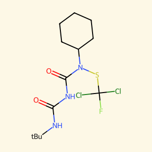 CC(C)(C)NC(=O)NC(=O)N(SC(F)(Cl)Cl)C1CCCCC1